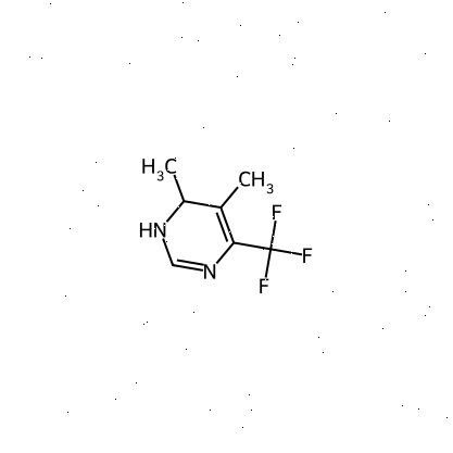 CC1=C(C(F)(F)F)N=CNC1C